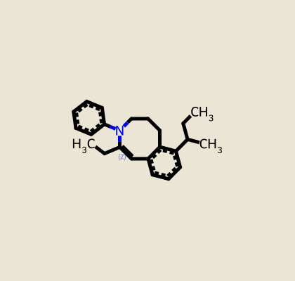 CC/C1=C/c2cccc(C(C)CC)c2CCCN1c1ccccc1